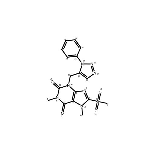 Cn1c(=O)c2c(nc(S(C)(=O)=O)n2C)n(Cc2cnnn2-c2ccccc2)c1=O